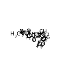 Cc1cn(-c2ccc3n(c2=O)CCN(C[C@]24C[C@@]2(C)Oc2c(F)cc(OC(F)(F)F)cc24)C3=O)cn1